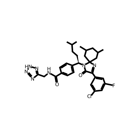 CC(C)CC[C@H](c1ccc(C(=O)NCc2nn[nH]n2)cc1)N1C(=O)C(c2cc(F)cc(Cl)c2)=NC12CC(C)CC(C)C2